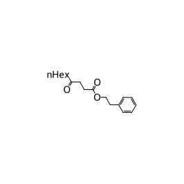 CCCCCCC(=O)CCC(=O)OCCc1ccccc1